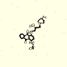 CC(=O)N1CCN(C[C@@H](O)CNc2ccc(NC[C@H]3CO3)c3c2C(=O)c2ccccc2C3=O)CC1